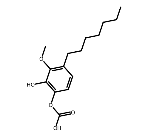 CCCCCCCc1ccc(OC(=O)O)c(O)c1OC